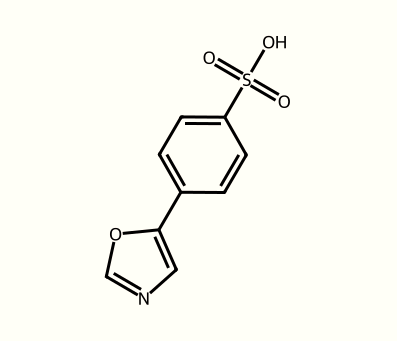 O=S(=O)(O)c1ccc(-c2cnco2)cc1